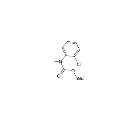 [CH2]CCCOC(=O)N(C)c1ccccc1Cl